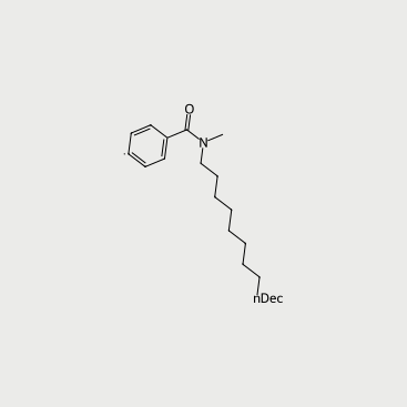 CCCCCCCCCCCCCCCCCCN(C)C(=O)c1cc[c]cc1